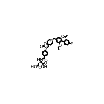 CCOc1cc(CN2CCC3(CC2)CN(c2ccc(C(=O)N[C@@H](CC(=O)O)C(=O)O)cc2)C(=O)O3)cc(OCC)c1-c1ccc(F)cc1